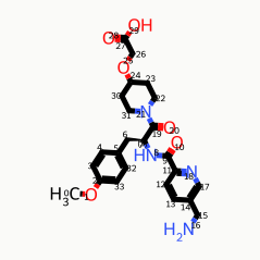 COc1ccc(C[C@H](NC(=O)c2ccc(CN)cn2)C(=O)N2CCC(OCC(=O)O)CC2)cc1